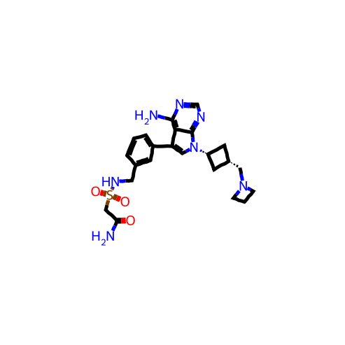 NC(=O)CS(=O)(=O)NCc1cccc(-c2cn([C@H]3C[C@@H](CN4CCC4)C3)c3ncnc(N)c23)c1